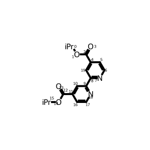 CC(C)OC(=O)c1ccnc(-c2cc(C(=O)OC(C)C)ccn2)c1